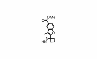 COC(=O)c1ccc2oc(C3(N=N)CCC3)c(C)c2c1